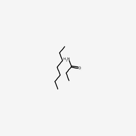 CCC(N)=O.CCCCCCC